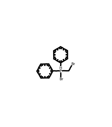 BrC[PH](Br)(c1ccccc1)c1ccccc1